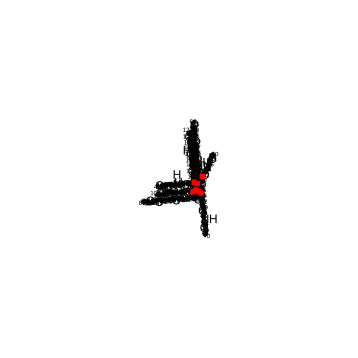 CCCOCCNCCOCCCC(CNCCOC(CCOCCNCCOCC)(COCCOCCNCCOCCOC)COCCOCCOCCNCCOCCOCCOC)OC(CCCOCCOCCNCCOCCOCCC)(CCOCCOCCNCCOCCOCC)CCOCCOCCOCCNCCOCCOCCOCC